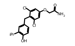 CC(C)c1cc(Cc2c(Cl)cc(OCC(N)=O)cc2Cl)ccc1O